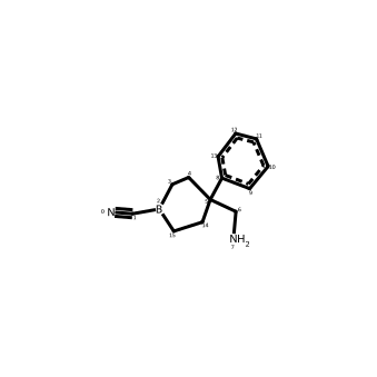 N#CB1CCC(CN)(c2ccccc2)CC1